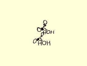 O=[SH](=O)O.O=[SH](=O)O